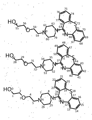 OCCOCCN1CCN(C2=Nc3ccccc3Sc3ccccc32)CC1.OCCOCCN1CCN(C2=Nc3ccccc3Sc3ccccc32)CC1.OCCOCCN1CCN(C2=Nc3ccccc3Sc3ccccc32)CC1